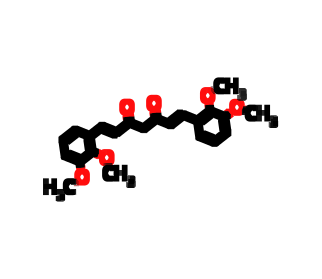 COc1cccc(C=CC(=O)CC(=O)C=Cc2cccc(OC)c2OC)c1OC